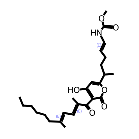 CCCCCC/C(C)=C/C=C(\C)C(=O)c1c(O)cc(C(C)CC/C=C/NC(=O)OC)oc1=O